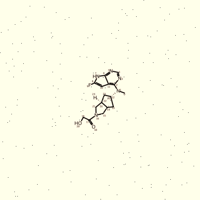 CN(c1ncnc2[nH]c(F)cc12)[C@@H]1CC2CN(C(=O)CO)C[C@H]2C1